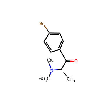 C[C@@H](C(=O)c1ccc(Br)cc1)N(C(=O)O)C(C)(C)C